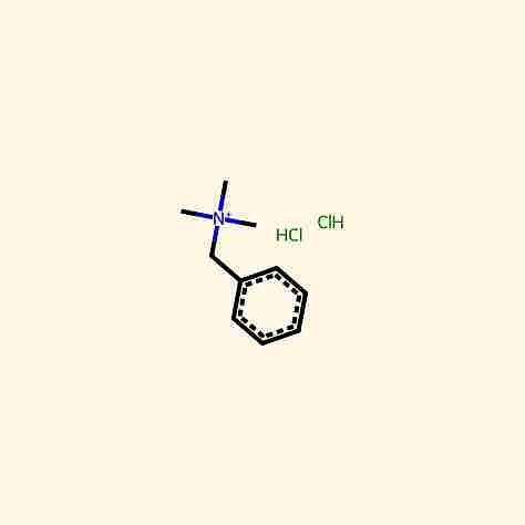 C[N+](C)(C)Cc1ccccc1.Cl.Cl